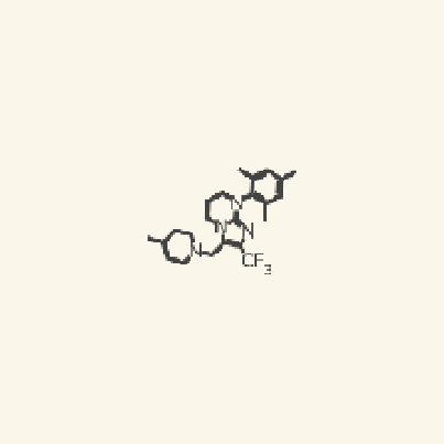 Cc1cc(C)c(N2CCCn3c2nc(C(F)(F)F)c3CN2CCC(C)CC2)c(C)c1